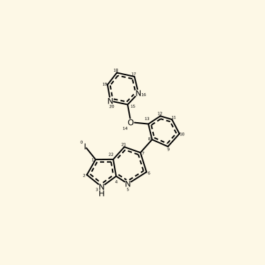 Ic1c[nH]c2ncc(-c3ccccc3Oc3ncccn3)cc12